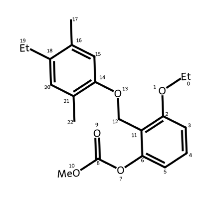 CCOc1cccc(OC(=O)OC)c1COc1cc(C)c(CC)cc1C